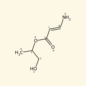 CC(CO)OC(=O)/C=C/N